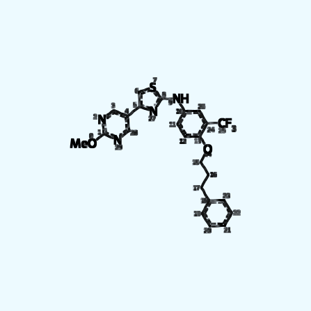 COc1ncc(-c2csc(Nc3ccc(OCCCc4ccccc4)c(C(F)(F)F)c3)n2)cn1